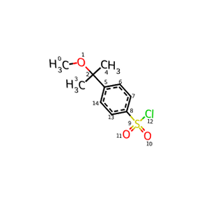 COC(C)(C)c1ccc(S(=O)(=O)Cl)cc1